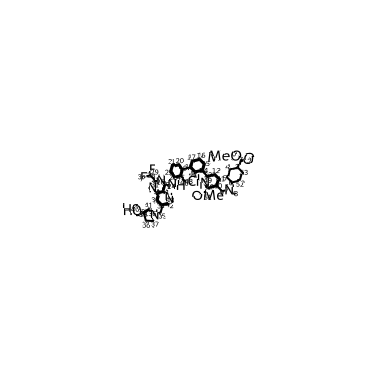 COC(=O)C1CCC(N(C)Cc2ccc(-c3cccc(-c4cccc(Nc5nc(C(F)F)nc6cc(CN7CC[C@@H](O)C7)cnc56)c4C)c3Cl)nc2OC)CC1